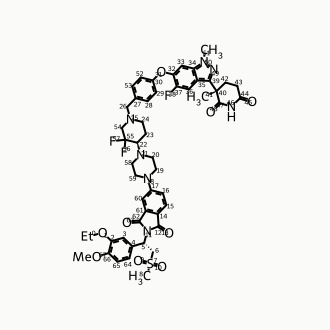 CCOc1cc([C@@H](CS(C)(=O)=O)N2C(=O)c3ccc(N4CCN([C@@H]5CCN(Cc6ccc(Oc7cc8c(cc7F)c([C@]7(C)CCC(=O)NC7=O)nn8C)cc6)CC5(F)F)CC4)cc3C2=O)ccc1OC